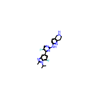 Cc1nc2cc(-c3nc(Nc4ccc5c(n4)CCNC5)ncc3F)cc(F)c2n1C(C)C